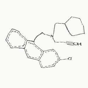 C#CCN(Cc1c2ccccc2cc2ccc(Cl)cc12)CC1CCCCC1